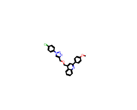 COc1ccc(-c2cc(COCc3cn(-c4ccc(Cl)cc4)nn3)c3ccccc3n2)cc1